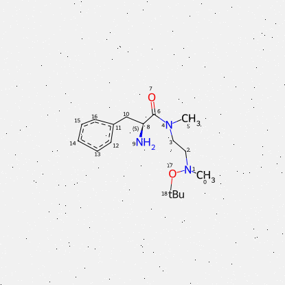 CN(CCN(C)C(=O)[C@@H](N)Cc1ccccc1)OC(C)(C)C